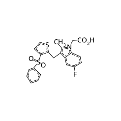 Cc1c(Cc2sccc2S(=O)(=O)c2ccccc2)c2cc(F)ccc2n1CC(=O)O